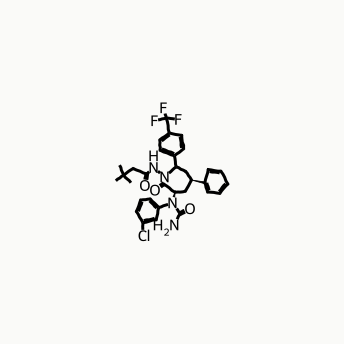 CC(C)(C)CC(=O)NN1C(=O)[C@H](N(C(N)=O)c2cccc(Cl)c2)C[C@H](c2ccccc2)CC1c1ccc(C(F)(F)F)cc1